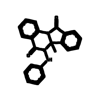 CC12c3ccccc3C(=O)N1c1ccccc1C(=O)N2Nc1ccccc1